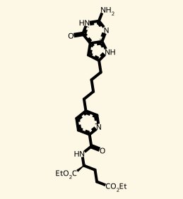 CCOC(=O)CC[C@H](NC(=O)c1ccc(CCCCc2cc3c(=O)[nH]c(N)nc3[nH]2)cn1)C(=O)OCC